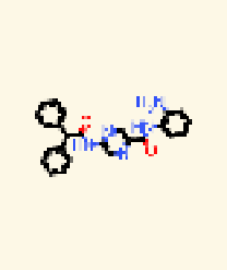 Nc1ccccc1NC(=O)c1cnc(NC(=O)C(c2ccccc2)c2ccccc2)cn1